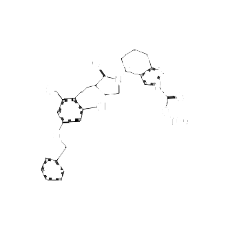 CC(C)(C)OC(=O)n1cc2c(n1)CCC[C@H]2N1CCC(Cc2c(Cl)cc(OCc3ccccc3)cc2Cl)C1=O